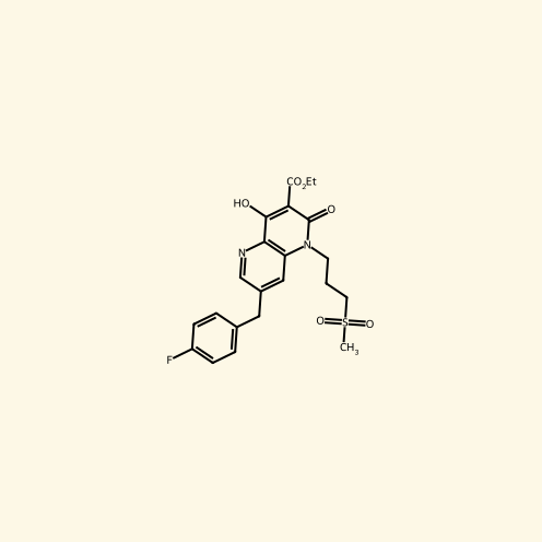 CCOC(=O)c1c(O)c2ncc(Cc3ccc(F)cc3)cc2n(CCCS(C)(=O)=O)c1=O